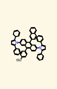 CC(C)(C)c1ccc(-c2c3ccc(-n4c(-c5ccccc5)ccc4-c4ccccc4)cc3c(-c3ccc4ccccc4c3)c3ccc(-n4c(-c5ccccc5)ccc4C4C=CC=CC4)cc23)cc1